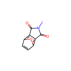 O=C1c2c(c3ccc2o3)C(=O)N1I